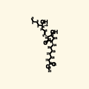 CCCC[C@@](C)(O)CC=C[C@H]1C(=O)[C@@H](CCCCCCC(=O)OC)C[C@@H]1O